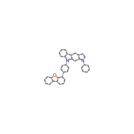 c1ccc(-n2ccc3cc4c5ccccc5n(-c5ccc(-c6cccc7c6oc6ccccc67)cc5)c4cc32)cc1